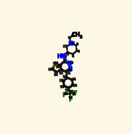 CCN1CCC[C@@H](Nc2nnc(-c3ccc(C(F)(F)F)cc3)c3ccsc23)C1